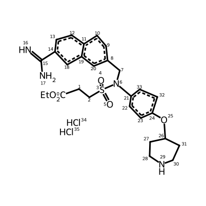 CCOC(=O)CCS(=O)(=O)N(Cc1ccc2ccc(C(=N)N)cc2c1)c1ccc(OC2CCNCC2)cc1.Cl.Cl